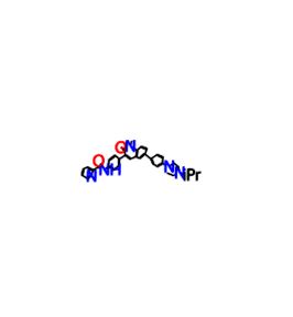 CC(C)N1CCN(c2ccc(-c3ccc4c(c3)cc(-c3ccc(NC(=O)c5ccccn5)cc3)c(=O)n4C)cc2)CC1